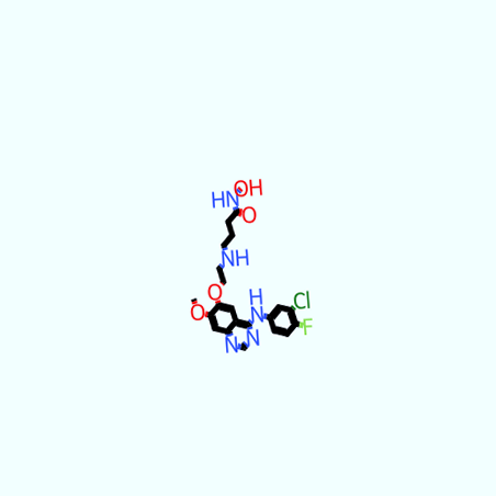 COc1cc2ncnc(Nc3ccc(F)c(Cl)c3)c2cc1OCCNCCCC(=O)NO